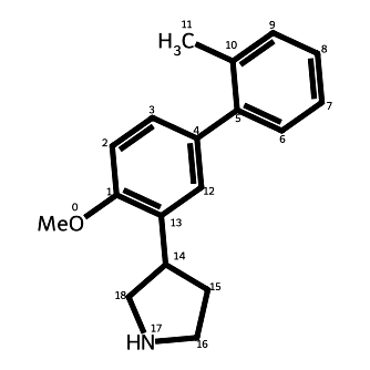 COc1ccc(-c2ccccc2C)cc1C1CCNC1